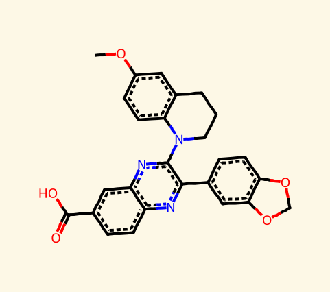 COc1ccc2c(c1)CCCN2c1nc2cc(C(=O)O)ccc2nc1-c1ccc2c(c1)OCO2